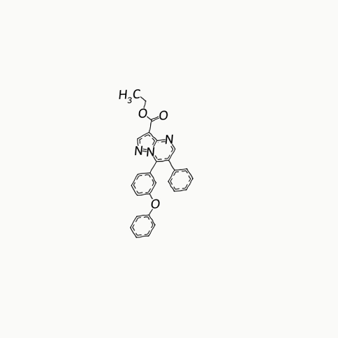 CCOC(=O)c1cnn2c(-c3cccc(Oc4ccccc4)c3)c(-c3ccccc3)cnc12